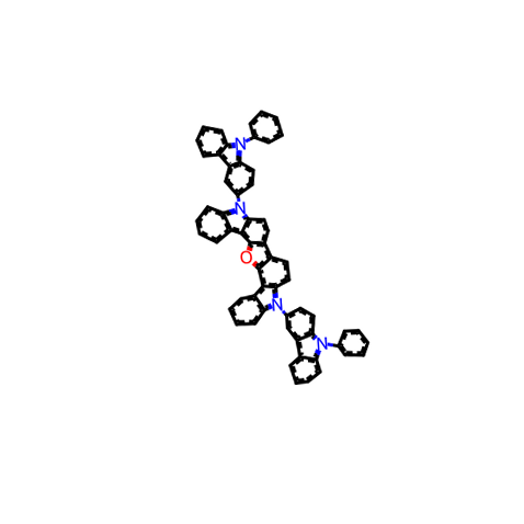 c1ccc(-n2c3ccccc3c3cc(-n4c5ccccc5c5c6oc7c(ccc8c7c7ccccc7n8-c7ccc8c(c7)c7ccccc7n8-c7ccccc7)c6ccc54)ccc32)cc1